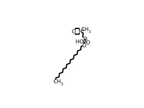 CCCCCCCCCCCCCCCCOP(=O)(O)OCC[N+]1(C)CCOCC1